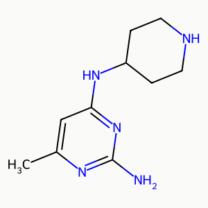 Cc1cc(NC2CCNCC2)nc(N)n1